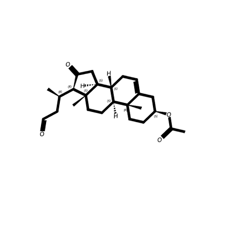 CC(=O)O[C@H]1CC[C@@]2(C)C(=CC[C@H]3[C@@H]4CC(=O)[C@H]([C@H](C)CC=O)[C@@]4(C)CC[C@@H]32)C1